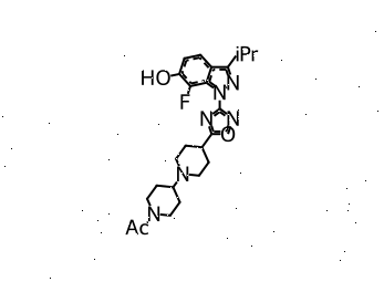 CC(=O)N1CCC(N2CCC(c3nc(-n4nc(C(C)C)c5ccc(O)c(F)c54)no3)CC2)CC1